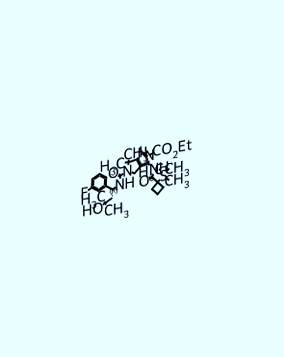 CCOC(=O)n1nc2c(c1NC(=O)C1(S(C)(C)C)CCC1)CN(C(=O)N[C@H](CC(C)(C)O)c1cccc(F)c1)C2(C)C